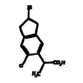 CCC1Cc2cc(Cl)c(C(C)C(=O)O)cc2C1